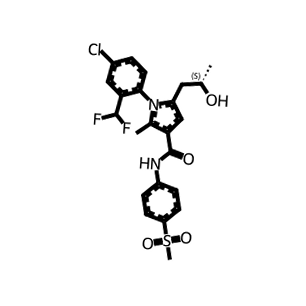 Cc1c(C(=O)Nc2ccc(S(C)(=O)=O)cc2)cc(C[C@H](C)O)n1-c1ccc(Cl)cc1C(F)F